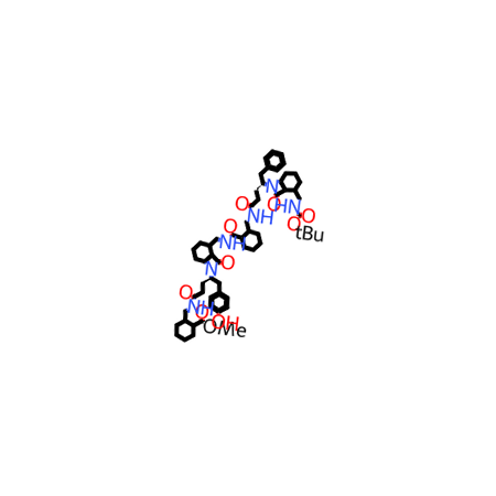 COC(=O)C1CCCCC1CNC(=O)CC[C@H](Cc1ccc(O)cc1)N1C(=O)C2C(CNC(=O)C3CCCCC3CNC(=O)CC[C@H](Cc3ccccc3)N3C(=O)C4C(CNC(=O)OC(C)(C)C)CCCC43)CCCC21